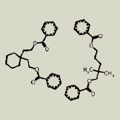 CC(C)(CCCOC(=O)c1ccccc1)COC(=O)c1ccccc1.O=C(OCCC1(CCOC(=O)c2ccccc2)CCCCC1)c1ccccc1